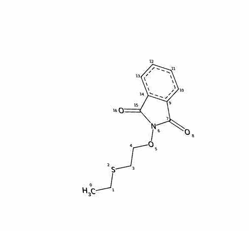 CCSCCON1C(=O)c2ccccc2C1=O